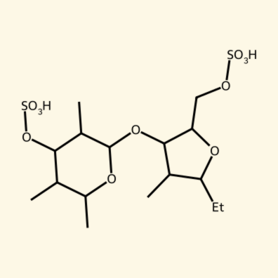 CCC1OC(COS(=O)(=O)O)C(OC2OC(C)C(C)C(OS(=O)(=O)O)C2C)C1C